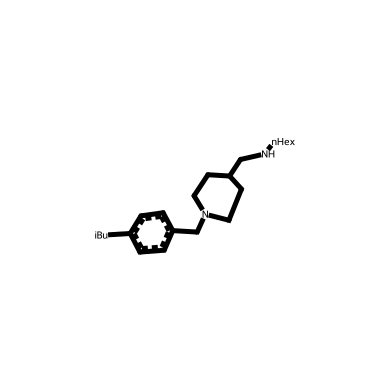 CCCCCCNCC1CCN(Cc2ccc(C(C)CC)cc2)CC1